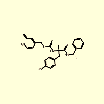 C=C/C=C(\C=C/N)COC(=O)N[C@@](C)(Cc1ccc(O)cc1)C(=O)N[C@@H](C)c1ccccc1